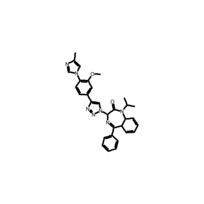 COc1cc(-c2cn(C3N=C(c4ccccc4)C4C=CC=CC4N(C(C)C)C3=O)nn2)ccc1-n1cnc(C)c1